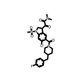 CN(C)C(=O)C(=O)C1CN(S(C)(=O)=O)c2cc(Cl)c(C(=O)N3CCC(Cc4ccc(F)cc4)CC3)cc21